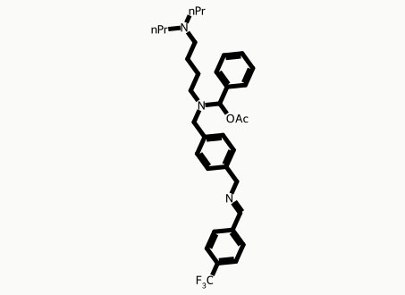 CCCN(CCC)CCCCN(Cc1ccc(CN=Cc2ccc(C(F)(F)F)cc2)cc1)C(OC(C)=O)c1ccccc1